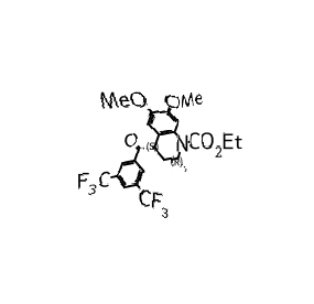 CCOC(=O)N1c2cc(OC)c(OC)cc2[C@@H](C(=O)c2cc(C(F)(F)F)cc(C(F)(F)F)c2)C[C@H]1C